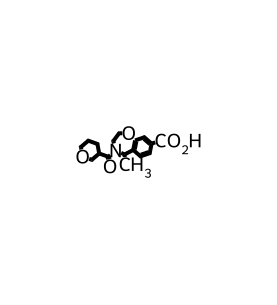 CC1c2ccc(C(=O)O)cc2OCCN1C(=O)C1CCCOC1